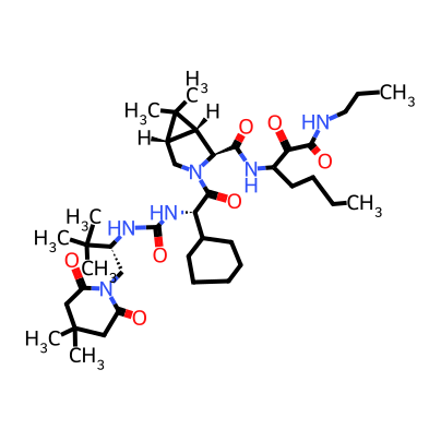 CCCCC(NC(=O)[C@@H]1[C@@H]2[C@H](CN1C(=O)[C@@H](NC(=O)N[C@H](CN1C(=O)CC(C)(C)CC1=O)C(C)(C)C)C1CCCCC1)C2(C)C)C(=O)C(=O)NCCC